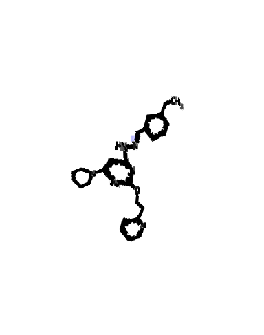 CCc1cccc(/C=N/Nc2cc(N3CCCCC3)nc(OCCc3ccccn3)n2)c1